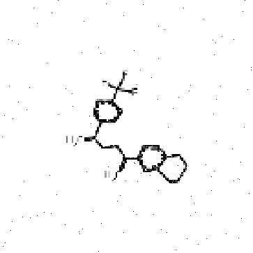 C=C(CCC(=C)c1ccc2c(c1)CCCC2)c1ccc(C(F)(F)F)cc1